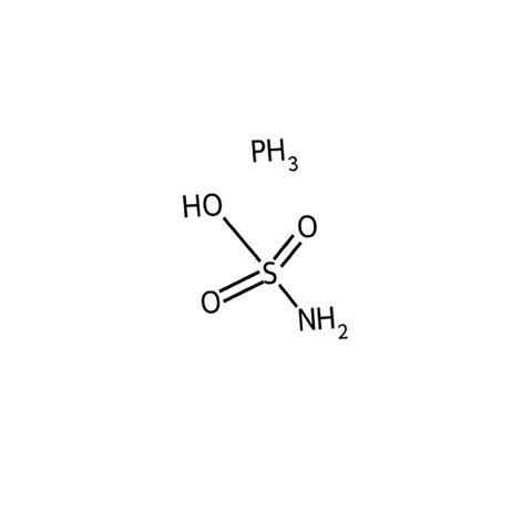 NS(=O)(=O)O.P